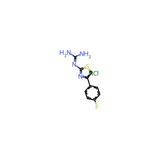 Cl.NC(N)=Nc1nc(-c2ccc(F)cc2)cs1